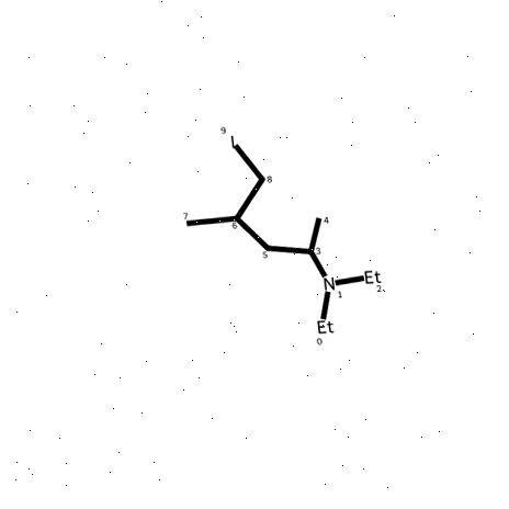 CCN(CC)C(C)CC(C)CI